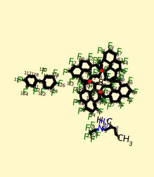 CCCC(C)C[NH2+]C(F)(F)C(F)(F)F.Fc1c(F)c2c(F)c(F)c3c(F)c(F)c([B-](c4c(F)c(F)c5c(F)c(F)c6c(F)c(F)c(F)c7c(F)c(F)c4c5c67)(c4c(F)c(F)c5c(F)c(F)c6c(F)c(F)c(F)c7c(F)c(F)c4c5c67)c4c(F)c(F)c5c(F)c(F)c6c(F)c(F)c(F)c7c(F)c(F)c4c5c67)c4c(F)c(F)c(c1F)c2c34.Fc1ccc(-c2c(F)c(F)c(F)c(F)c2F)c(F)c1F